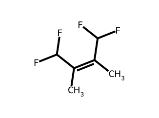 C/C(=C(\C)C(F)F)C(F)F